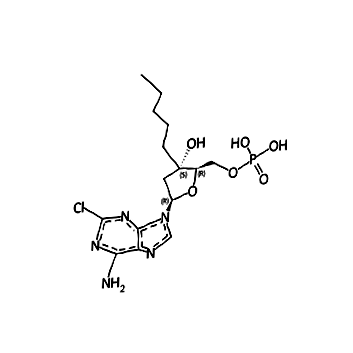 CCCCC[C@]1(O)C[C@H](n2cnc3c(N)nc(Cl)nc32)O[C@@H]1COP(=O)(O)O